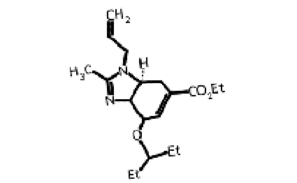 C=CCN1C(C)=NC2C(OC(CC)CC)C=C(C(=O)OCC)C[C@@H]21